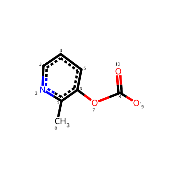 Cc1ncccc1OC([O])=O